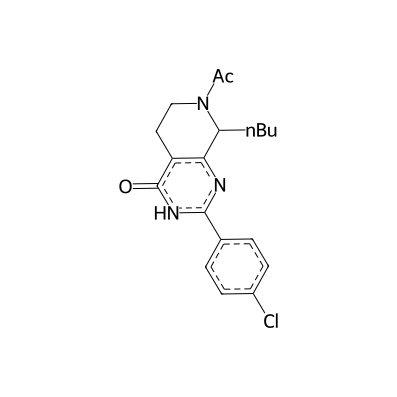 CCCCC1c2nc(-c3ccc(Cl)cc3)[nH]c(=O)c2CCN1C(C)=O